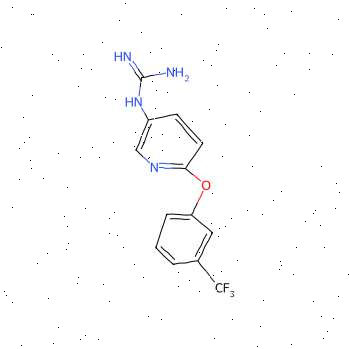 N=C(N)Nc1ccc(Oc2cccc(C(F)(F)F)c2)nc1